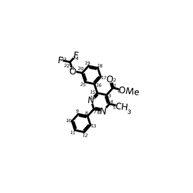 COC(=O)c1c(C)nc(-c2ccccc2)nc1-c1cccc(OC(F)F)c1